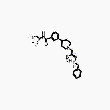 CC(C)NC(=O)c1cccc(C2CCN(C/C(=C/NCc3ccccc3)N=N)CC2)c1